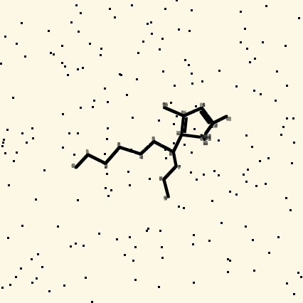 CCCCCCC(CCC)c1[nH]c(C)cc1C